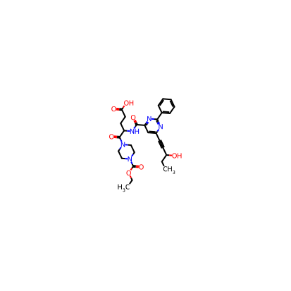 CCOC(=O)N1CCN(C(=O)C(CCC(=O)O)NC(=O)c2cc(C#CC(O)CC)nc(-c3ccccc3)n2)CC1